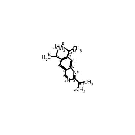 CC(C)c1ncc2cc(C(C)C)c(C(C)C)cc2n1